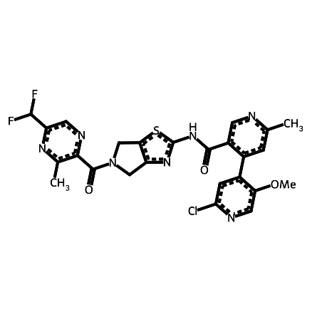 COc1cnc(Cl)cc1-c1cc(C)ncc1C(=O)Nc1nc2c(s1)CN(C(=O)c1ncc(C(F)F)nc1C)C2